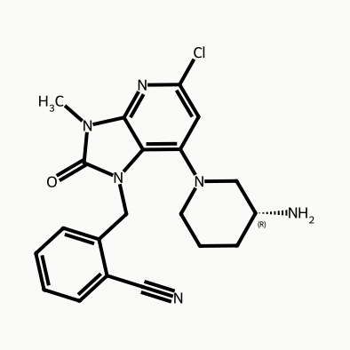 Cn1c(=O)n(Cc2ccccc2C#N)c2c(N3CCC[C@@H](N)C3)cc(Cl)nc21